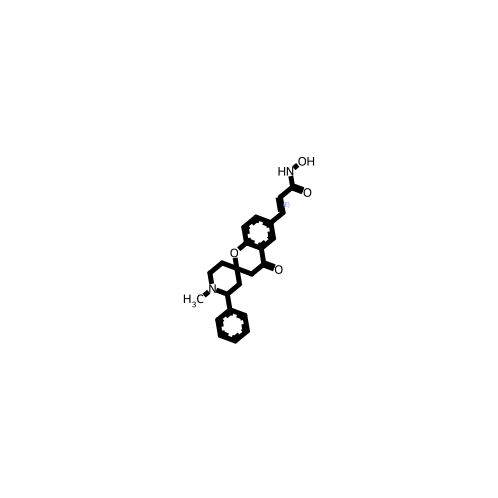 CN1CCC2(CC(=O)c3cc(/C=C/C(=O)NO)ccc3O2)CC1c1ccccc1